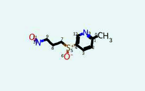 Cc1ccc([S+]([O-])CCCN=O)cn1